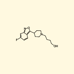 OCCCCN1CCC(c2onc3cc(F)ccc23)CC1